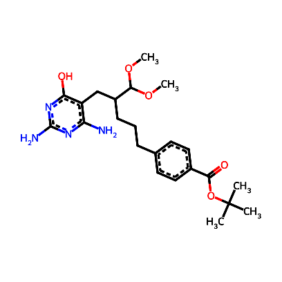 COC(OC)C(CCCc1ccc(C(=O)OC(C)(C)C)cc1)Cc1c(N)nc(N)nc1O